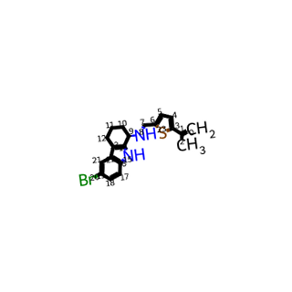 C=C(C)c1ccc(CN[C@@H]2CCCc3c2[nH]c2ccc(Br)cc32)s1